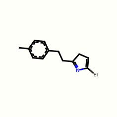 CCC1=CCC(CCc2ccc(C)cc2)=N1